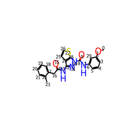 COc1cccc(NC(=O)n2nc(NC(=O)Cc3ccccc3C)c3ccsc32)c1